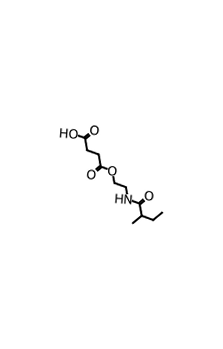 CCC(C)C(=O)NCCOC(=O)CCC(=O)O